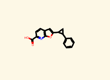 O=C(O)c1ccc2cc(C3CC3c3ccccc3)oc2n1